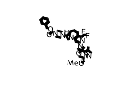 COC[C@H]1COC2(CN(c3cc4c(c(C(F)F)n3)C=CC[C@H]3[C@H](N5CCN(C(=O)OCc6ccccc6)CC5)CN43)C2)c2c(C)cnn21